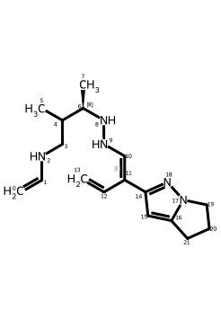 C=CNCC(C)[C@@H](C)NN/C=C(\C=C)c1cc2n(n1)CCC2